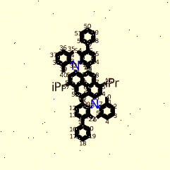 Cc1cccc(C)c1N(c1c(C)ccc(-c2ccccc2)c1C)c1cc(C(C)C)c2ccc3c(N(c4c(C)cccc4C)c4c(C)ccc(-c5ccccc5)c4C)cc(C(C)C)c4ccc1c2c43